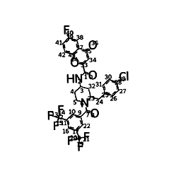 O=C(NC1CCN(C(=O)c2cc(C(F)(F)F)cc(C(F)(F)F)c2)C(Cc2ccc(Cl)cc2)C1)c1cc(=O)c2cc(F)ccc2o1